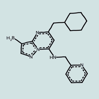 Bc1cnn2c(NCc3ccccn3)cc(CC3CCCCC3)nc12